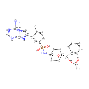 Cc1ccc(S(=O)(=O)NC23CCC(C(OC(=O)C(F)(F)F)c4ccccc4)(CC2)OC3)cc1-c1cn2c(N)ncnc2n1